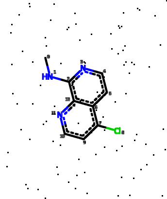 CNc1nccc2c(Cl)ccnc12